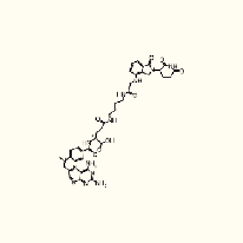 CN(Cc1cnc2nc(N)nc(N)c2n1)c1ccc(C(=O)N[C@@H](CCC(=O)NCCCCNC(=O)CNc2cccc3c2CN(C2CCC(=O)NC2=O)C3=O)C(=O)O)cc1